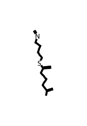 C=NCCCCSC(=C)CCCC(=C)C